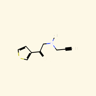 C#CCN(C)CC(=C)c1ccsc1